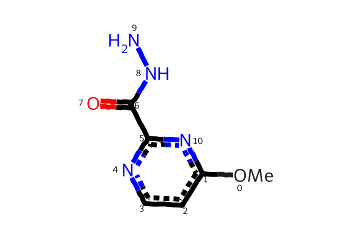 COc1ccnc(C(=O)NN)n1